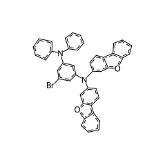 Brc1cc(N(c2ccccc2)c2ccccc2)cc(N(c2ccc3c(c2)oc2ccccc23)c2ccc3c(c2)oc2ccccc23)c1